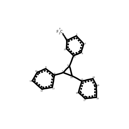 FC(F)(F)c1cccc(C2C(c3ccccc3)C2c2ccccc2)c1